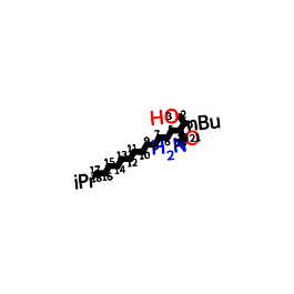 CCCCC(CO)C(CCCCCCCCCCCCCC(C)C)C(N)=O